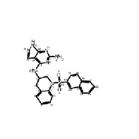 Nc1nc(NC2Cc3ccccc3N(S(=O)(=O)c3ccc4ccccc4c3)C2)c2cn[nH]c2n1